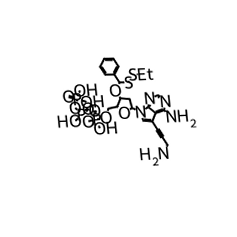 CCSSC(OC1CC(n2cc(C#CCN)c3c(N)ncnc32)OC1COP(=O)(O)OP(=O)(O)OP(=O)(O)O)c1ccccc1